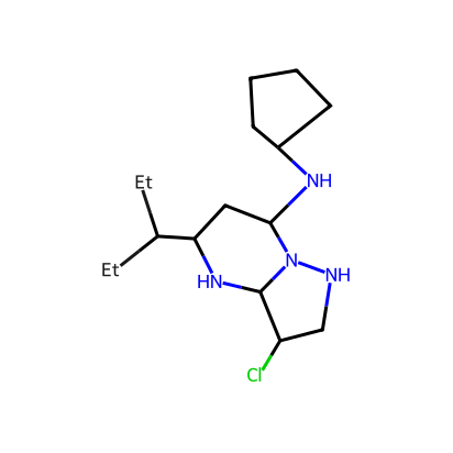 CCC(CC)C1CC(NC2CCCC2)N2NCC(Cl)C2N1